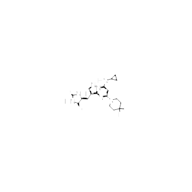 O=C1NC(=O)C(=Cc2cnn3c(NC4CC4)cc(N4CCC(F)(F)CC4)nc23)N1